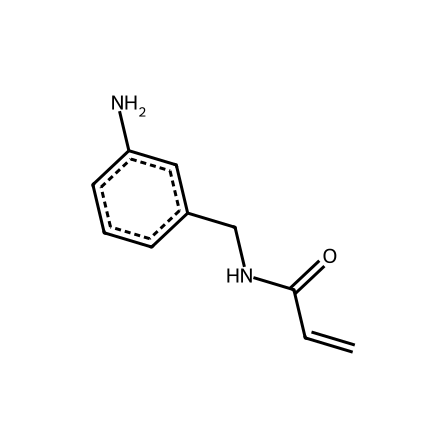 C=CC(=O)NCc1cccc(N)c1